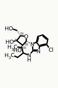 CCC(CC)Nc1nc2c(Cl)cccc2n1[C@H]1O[C@@H](CO)[C@H](O)[C@@H]1O